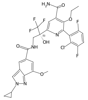 CCOc1c(C(N)=O)cc([C@@](O)(CNC(=O)c2cc(OC)c3nn(C4CC4)cc3c2)C(F)(F)F)nc1-c1c(F)ccc(F)c1Cl